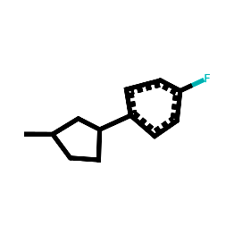 CC1CCC(c2ccc(F)cc2)C1